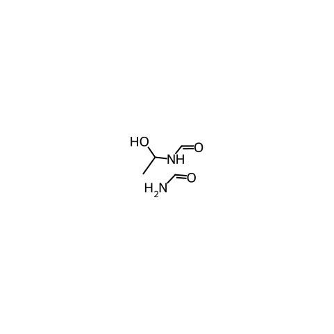 CC(O)NC=O.NC=O